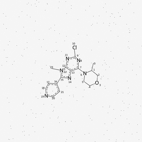 CC1COCCN1c1nc(Cl)nc2c1nc(-c1ccncc1)n2C